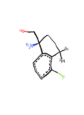 [2H]C1([2H])CC[C@@](N)(CO)c2cccc(F)c21